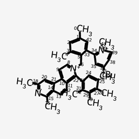 Cc1cc(C)c(C[n+]2ccc3c(ccc4c(C)nc(C)cc43)c2-c2cc(C)c(C)c(C)c2C)c(-c2cc(C(C)(C)C)cc[n+]2C)c1